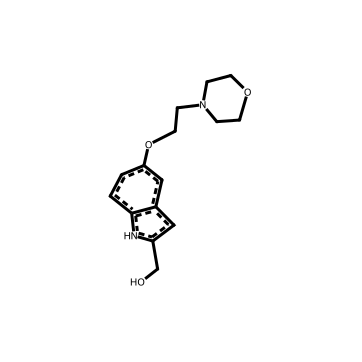 OCc1cc2cc(OCCN3CCOCC3)ccc2[nH]1